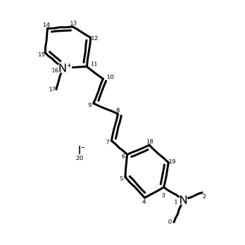 CN(C)c1ccc(/C=C/C=C/c2cccc[n+]2C)cc1.[I-]